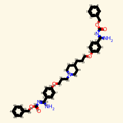 N/C(=N\C(=O)OCc1ccccc1)c1ccc(OCCCC2CCN(CCCOc3ccc(/C(N)=N/C(=O)OCc4ccccc4)cc3)CC2)cc1